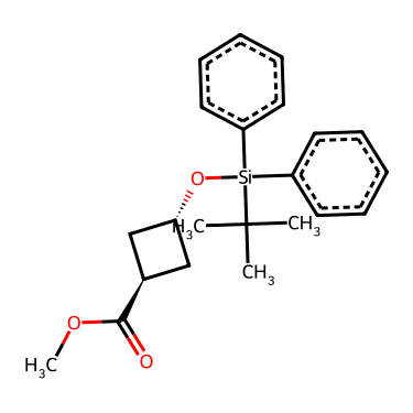 COC(=O)[C@H]1C[C@H](O[Si](c2ccccc2)(c2ccccc2)C(C)(C)C)C1